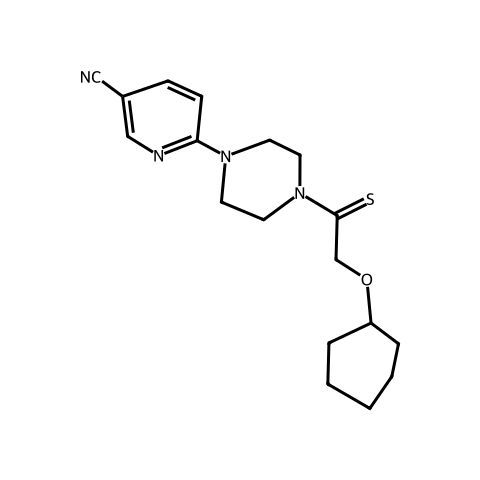 N#Cc1ccc(N2CCN(C(=S)COC3CCCCC3)CC2)nc1